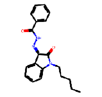 CCCCCN1C(=O)C(=NNC(=O)c2ccccc2)c2ccccc21